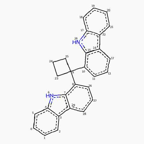 c1ccc2c(c1)[nH]c1c(C3(c4cccc5c4[nH]c4ccccc45)CCC3)cccc12